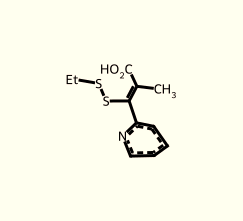 CCSSC(=C(C)C(=O)O)c1ccccn1